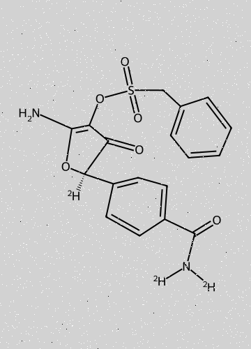 [2H]N([2H])C(=O)c1ccc([C@@]2([2H])OC(N)=C(OS(=O)(=O)Cc3ccccc3)C2=O)cc1